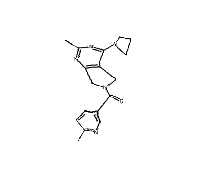 Cc1ccc(C(=O)N2Cc3nc(C)nc(N4CCC4)c3C2)cn1